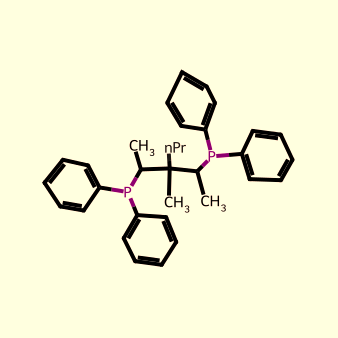 CCCC(C)(C(C)P(c1ccccc1)c1ccccc1)C(C)P(c1ccccc1)c1ccccc1